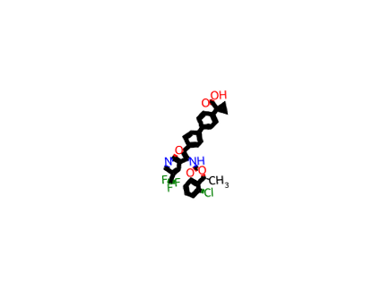 C[C@@H](OC(=O)Nc1c(-c2ccc(-c3ccc(C4(C(=O)O)CC4)cc3)cc2)oc2ncc(C(F)(F)F)cc12)c1ccccc1Cl